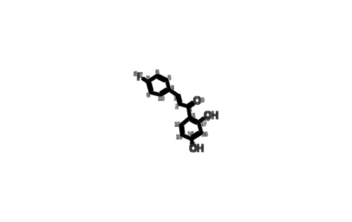 O=C(C=Cc1ccc(F)cc1)c1ccc(O)cc1O